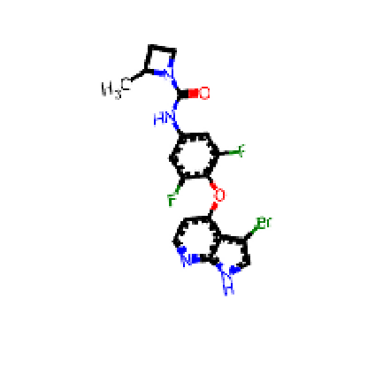 CC1CCN1C(=O)Nc1cc(F)c(Oc2ccnc3[nH]cc(Br)c23)c(F)c1